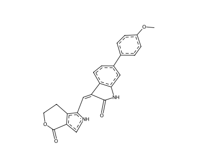 COc1ccc(-c2ccc3c(c2)NC(=O)C3=Cc2[nH]cc3c2CCOC3=O)cc1